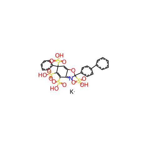 O=S(=O)(O)C1=C(S(=O)(=O)O)C(c2ccccc2)(S(=O)(=O)O)C=C2OC(c3ccc(-c4ccccc4)cc3)(S(=O)(=O)O)N=C21.[K]